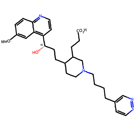 COc1ccc2nccc([C@@H](O)CCC3CCN(CCCCc4ccnnc4)CC3CCC(=O)O)c2c1